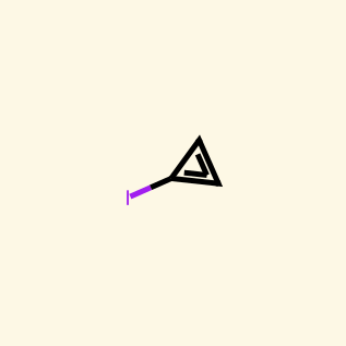 IC1=C=C1